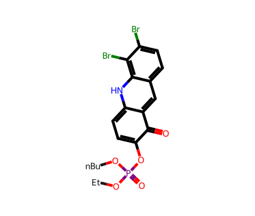 CCCCOP(=O)(OCC)Oc1ccc2[nH]c3c(Br)c(Br)ccc3cc-2c1=O